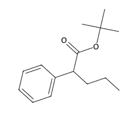 CCCC(C(=O)OC(C)(C)C)c1ccccc1